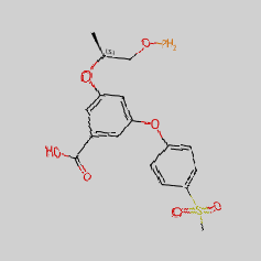 C[C@@H](COP)Oc1cc(Oc2ccc(S(C)(=O)=O)cc2)cc(C(=O)O)c1